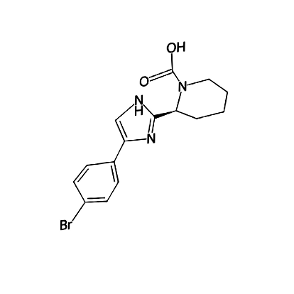 O=C(O)N1CCCC[C@H]1c1nc(-c2ccc(Br)cc2)c[nH]1